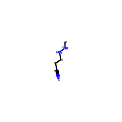 CNNCCC#N